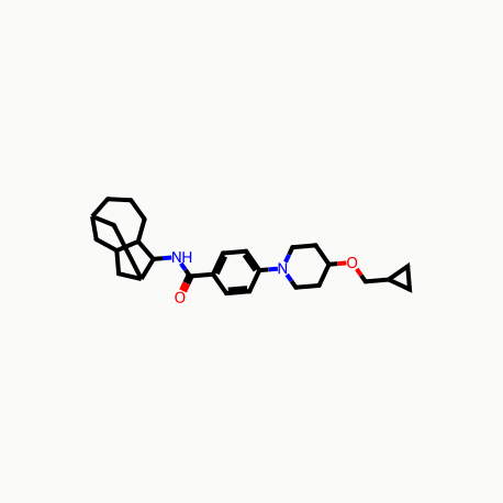 O=C(NC1C2CC3CCCC1C(C3)C2)c1ccc(N2CCC(OCC3CC3)CC2)cc1